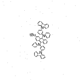 CC(C)(C)c1ccc2c(N(c3ccccc3)c3cccc(-n4c5ccccc5c5ccccc54)c3)c3ccccc3c(N(c3ccccc3)c3cccc(-n4c5ccccc5c5ccccc54)c3)c2c1